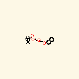 CC(C)(C)CC(C)(C(=O)OCCOCCOc1ccc2ccccc2c1)C(C)(C)C